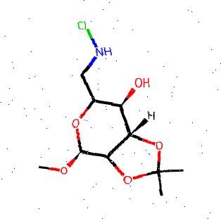 CO[C@H]1OC(CNCl)[C@@H](O)[C@@H]2OC(C)(C)OC12